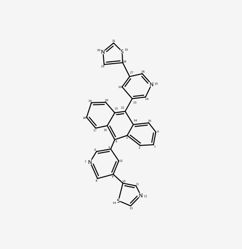 c1ccc2c(-c3cncc(-c4cncs4)c3)c3ccccc3c(-c3cncc(-c4cncs4)c3)c2c1